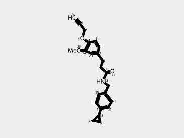 C#CCOc1ccc(CCC(=O)NCc2ccc(C3CC3)cc2)cc1OC